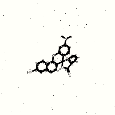 CN(C)c1ccc2c(c1)Oc1c(ccc3cc(O)ccc13)C21OC(=O)c2ccccc21